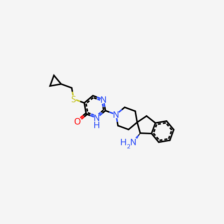 N[C@@H]1c2ccccc2CC12CCN(c1ncc(SCC3CC3)c(=O)[nH]1)CC2